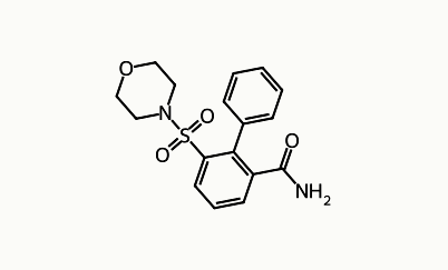 NC(=O)c1cccc(S(=O)(=O)N2CCOCC2)c1-c1ccccc1